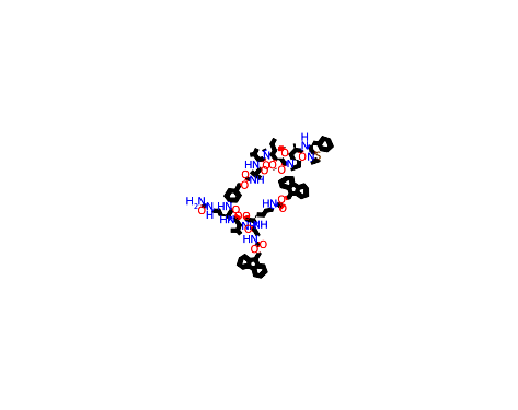 CC[C@H](C)[C@@H]([C@@H](CC(=O)N1CCC[C@H]1[C@H](OC)[C@@H](C)C(=O)N[C@@H](Cc1ccccc1)c1nccs1)OC)N(C)C(=O)[C@@H](NC(=O)C(C)(C)NC(=O)OCc1ccc(NC(=O)[C@H](CCCNC(N)=O)NC(=O)[C@@H](NC(=O)[C@H](CCCCNC(=O)OCC2c3ccccc3-c3ccccc32)NC(=O)CNC(=O)OCC2c3ccccc3-c3ccccc32)C(C)C)cc1)C(C)C